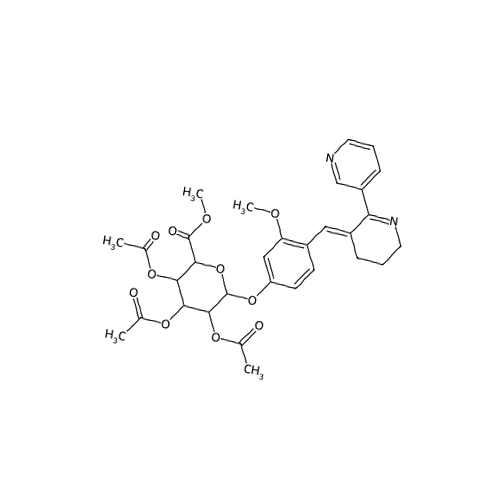 COC(=O)C1OC(Oc2ccc(/C=C3\CCCN=C3c3cccnc3)c(OC)c2)C(OC(C)=O)C(OC(C)=O)C1OC(C)=O